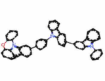 c1ccc(-n2c3ccccc3c3cc(-c4ccc5c(c4)c4ccccc4n5-c4ccc(-c5ccc6c7cccc8c7n(c6c5)-c5ccccc5O8)cc4)ccc32)cc1